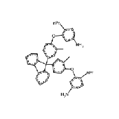 CCCc1ccc(N)cc1Oc1ccc(C2(c3ccc(Oc4cc(N)ccc4CCC)c(C)c3)c3ccccc3-c3ccccc32)cc1C